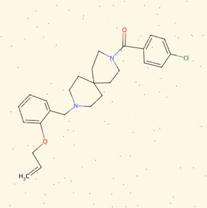 C=CCOc1ccccc1CN1CCC2(CC1)CCN(C(=O)c1ccc(Cl)cc1)CC2